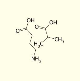 CC(C)C(=O)O.NCCCC(=O)O